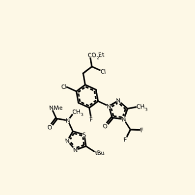 CCOC(=O)C(Cl)Cc1cc(-n2nc(C)n(C(F)F)c2=O)c(F)cc1Cl.CNC(=O)N(C)c1nnc(C(C)(C)C)s1